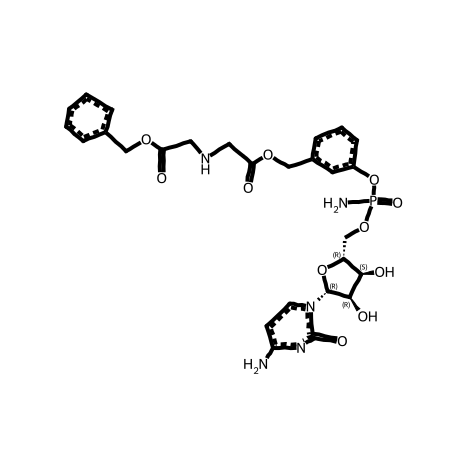 Nc1ccn([C@@H]2O[C@H](COP(N)(=O)Oc3cccc(COC(=O)CNCC(=O)OCc4ccccc4)c3)[C@@H](O)[C@H]2O)c(=O)n1